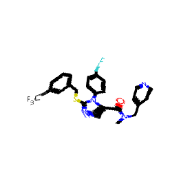 CN(Cc1ccncc1)C(=O)c1cnc(SCc2cccc(C(F)(F)F)c2)n1-c1ccc(F)cc1